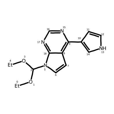 CCOC(OCC)n1ccc2c(-c3cc[nH]c3)ncnc21